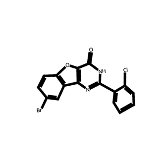 O=c1[nH]c(-c2ccccc2Cl)nc2c1oc1ccc(Br)cc12